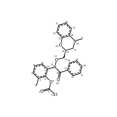 CCC(=O)Oc1c(C)cccc1N(OC[C@@H]1CN(C)c2ccccc2O1)C(=O)c1ccccc1